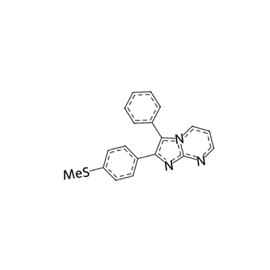 CSc1ccc(-c2nc3ncccn3c2-c2ccccc2)cc1